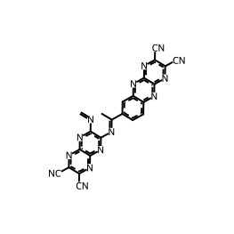 C=Nc1nc2nc(C#N)c(C#N)nc2nc1/N=C(\C)c1ccc2nc3nc(C#N)c(C#N)nc3nc2c1